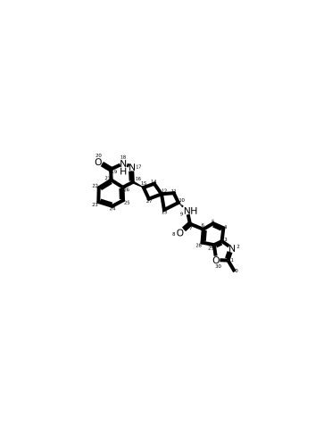 Cc1nc2ccc(C(=O)N[C@H]3CC4(C3)C[C@H](c3n[nH]c(=O)c5ccccc53)C4)cc2o1